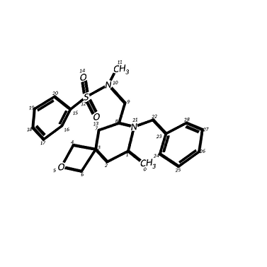 CC1CC2(COC2)CC(CN(C)S(=O)(=O)c2ccccc2)N1Cc1ccccc1